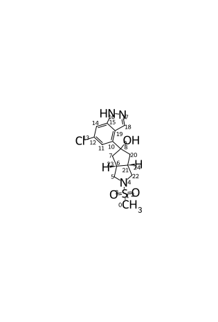 CS(=O)(=O)N1C[C@@H]2CC(O)(c3cc(Cl)cc4[nH]ncc34)C[C@@H]2C1